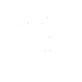 C[C@@H]1CCNC(=O)OCc2cccc(c2)-c2nn(C3CCCCO3)c3ccc(nc23)O1